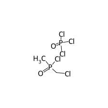 CP(=O)(Cl)CCl.O=P(Cl)(Cl)Cl